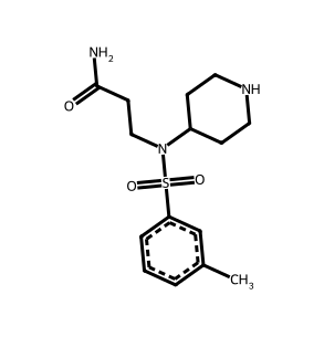 Cc1cccc(S(=O)(=O)N(CCC(N)=O)C2CCNCC2)c1